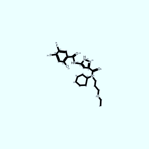 CCOCCCN(C(=O)c1cc(NC(=O)c2cc(F)c(F)cc2Cl)[nH]n1)C1CCCCC1